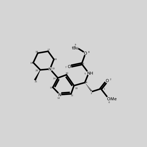 COC(=O)C[C@@H](NC(=O)OC(C)(C)C)c1cncc(N2CCCC[C@@H]2C)c1